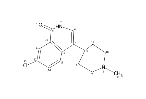 CN1CCC(c2c[nH]c(=O)c3cc(Cl)ccc23)CC1